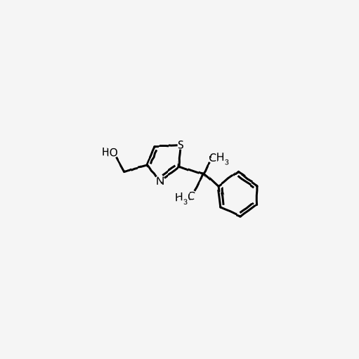 CC(C)(c1ccccc1)c1nc(CO)cs1